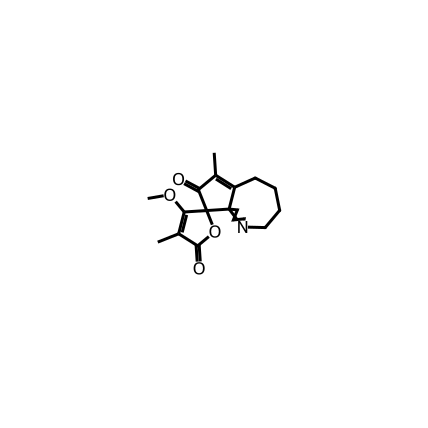 COC1=C(C)C(=O)OC12C(=O)C(C)=C1CCCCN3CCCC132